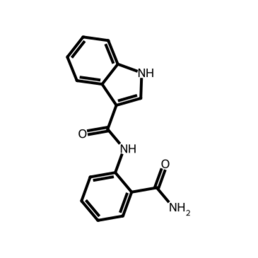 NC(=O)c1ccccc1NC(=O)c1c[nH]c2ccccc12